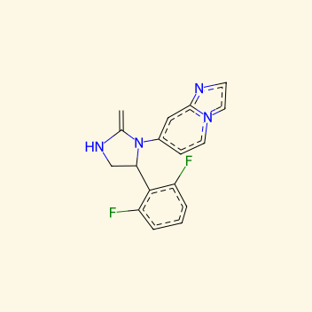 C=C1NCC(c2c(F)cccc2F)N1c1ccn2ccnc2c1